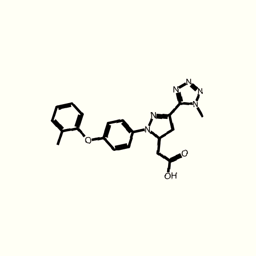 Cc1ccccc1Oc1ccc(N2N=C(c3nnnn3C)CC2CC(=O)O)cc1